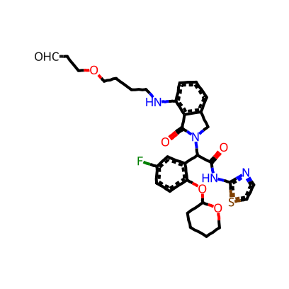 O=CCCOCCCCNc1cccc2c1C(=O)N(C(C(=O)Nc1nccs1)c1cc(F)ccc1OC1CCCCO1)C2